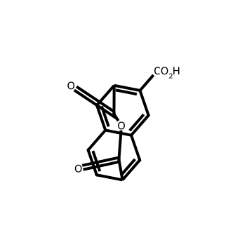 O=C1OC(=O)c2cc3ccc1cc3cc2C(=O)O